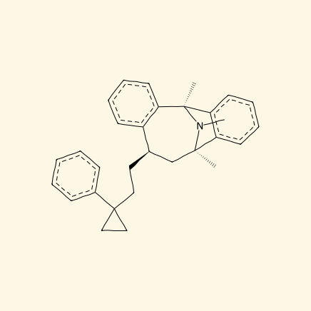 CN1[C@@]2(C)c3ccccc3[C@H](CCC3(c4ccccc4)CC3)C[C@]1(C)c1ccccc12